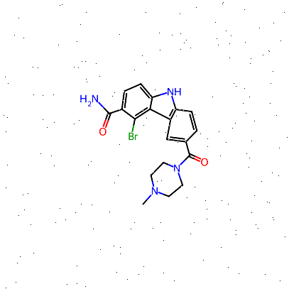 CN1CCN(C(=O)c2ccc3[nH]c4ccc(C(N)=O)c(Br)c4c3c2)CC1